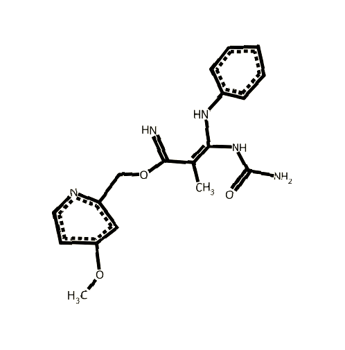 COc1ccnc(COC(=N)/C(C)=C(/NC(N)=O)Nc2ccccc2)c1